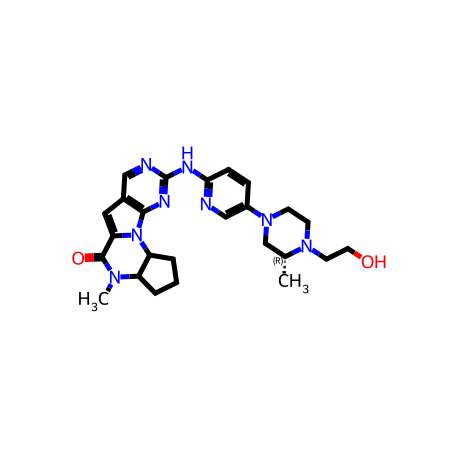 C[C@@H]1CN(c2ccc(Nc3ncc4cc5n(c4n3)C3CCCC3N(C)C5=O)nc2)CCN1CCO